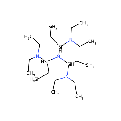 CCN(CC)[SiH](C[SiH3])N([SiH](C[SiH3])N(CC)CC)[SiH](C[SiH3])N(CC)CC